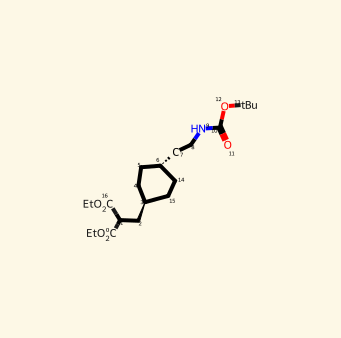 CCOC(=O)C(C[C@H]1CC[C@H](CCNC(=O)OC(C)(C)C)CC1)C(=O)OCC